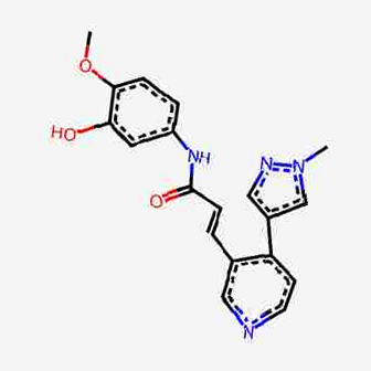 COc1ccc(NC(=O)C=Cc2cnccc2-c2cnn(C)c2)cc1O